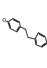 [O]c1ccc(CCc2ccccc2)cc1